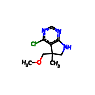 COCC1(C)CNc2ncnc(Cl)c21